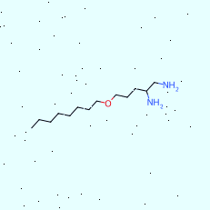 CCCCCCCCOCCCC(N)CN